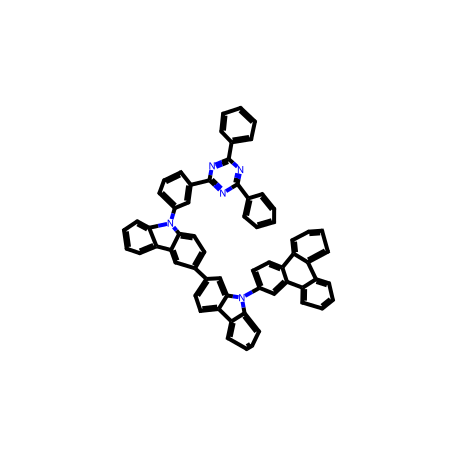 c1ccc(-c2nc(-c3ccccc3)nc(-c3cccc(-n4c5ccccc5c5cc(-c6ccc7c8ccccc8n(-c8ccc9c%10ccccc%10c%10ccccc%10c9c8)c7c6)ccc54)c3)n2)cc1